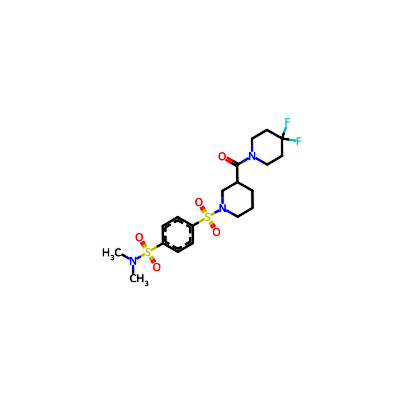 CN(C)S(=O)(=O)c1ccc(S(=O)(=O)N2CCCC(C(=O)N3CCC(F)(F)CC3)C2)cc1